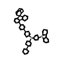 c1ccc(-c2ccc(N(c3ccc(-c4ccc(-c5cccc6c5-c5ccccc5C65C6CC7CC(C6)CC5C7)cc4)cc3)c3ccc(-n4c5ccccc5c5ccccc54)cc3)cc2)cc1